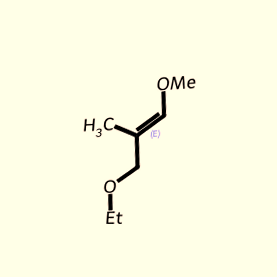 CCOC/C(C)=C/OC